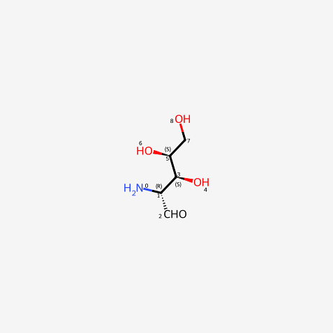 N[C@@H](C=O)[C@H](O)[C@@H](O)CO